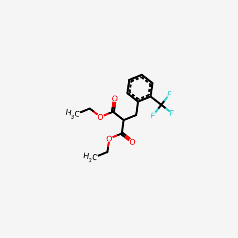 CCOC(=O)C(Cc1ccccc1C(F)(F)F)C(=O)OCC